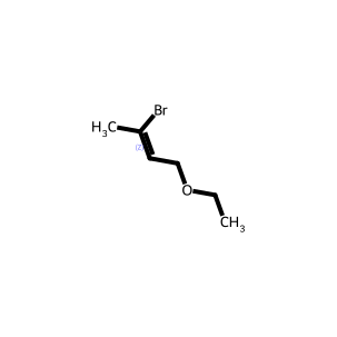 CCOC/C=C(/C)Br